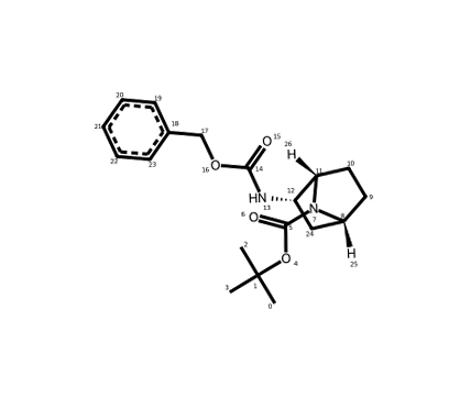 CC(C)(C)OC(=O)N1[C@@H]2CC[C@H]1[C@@H](NC(=O)OCc1ccccc1)C2